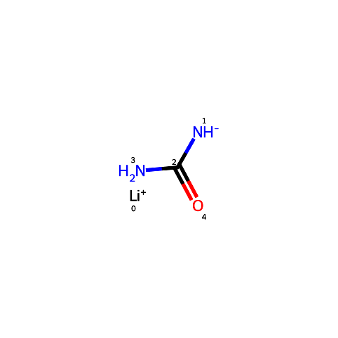 [Li+].[NH-]C(N)=O